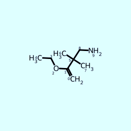 C=C(OCC)C(C)(C)CN